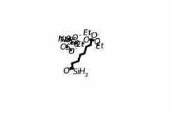 CCOC(CCCCCCC(=O)[SiH3])(OCC)OCC.O=S([O-])S(=O)(=O)[O-].[Na+].[Na+]